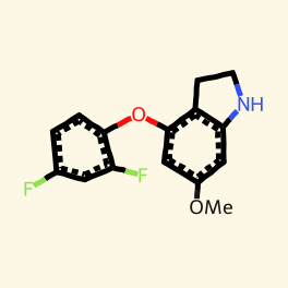 COc1cc2c(c(Oc3ccc(F)cc3F)c1)CCN2